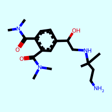 CN(C)C(=O)c1ccc(C(O)CNC(C)(C)CCN)cc1C(=O)N(C)C